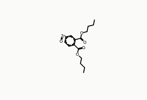 CCCCOC(=O)c1ccccc1C(=O)OCCCC.[O]=[Zn]